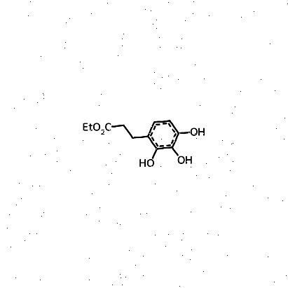 CCOC(=O)CCc1ccc(O)c(O)c1O